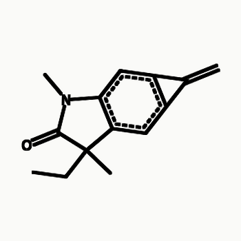 C=C1c2cc3c(cc21)C(C)(CC)C(=O)N3C